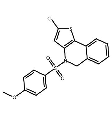 COc1ccc(S(=O)(=O)N2Cc3ccccc3-c3sc(Cl)cc32)cc1